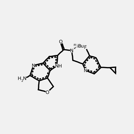 CC[C@@H](C)N(Cc1ncc(C2CC2)cc1F)C(=O)c1cc2nc(N)c3c(c2[nH]1)COC3